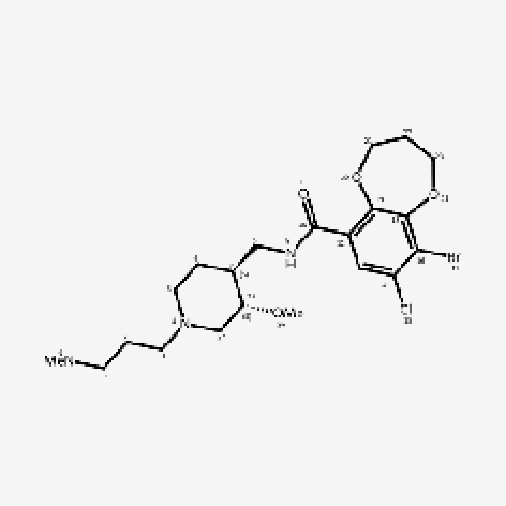 CNCCCN1CC[C@@H](CNC(=O)c2cc(Cl)c(Br)c3c2OCCCO3)[C@H](OC)C1